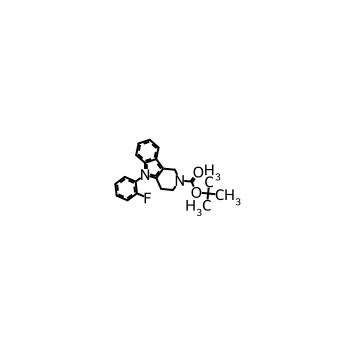 CC(C)(C)OC(=O)N1CCc2c(c3ccccc3n2-c2ccccc2F)C1